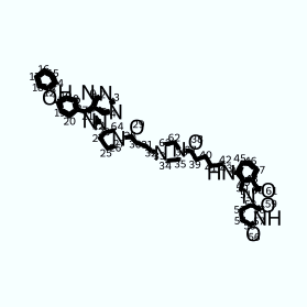 Nc1ncnc2c1c(-c1ccc(Oc3ccccc3)cc1)nn2C1CCCN(C(=O)CCCN2CCN(C(=O)CCCCNc3cccc4c3CN(C3CCC(=O)NC3=O)C4=O)CC2)C1